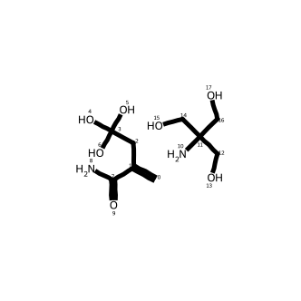 C=C(CC(O)(O)O)C(N)=O.NC(CO)(CO)CO